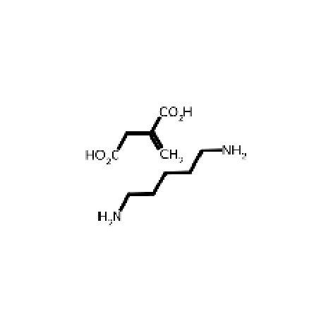 C=C(CC(=O)O)C(=O)O.NCCCCCN